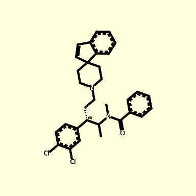 CC([C@@H](CCN1CCC2(C=Cc3ccccc32)CC1)c1ccc(Cl)c(Cl)c1)N(C)C(=O)c1ccccc1